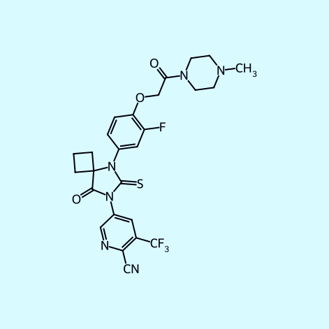 CN1CCN(C(=O)COc2ccc(N3C(=S)N(c4cnc(C#N)c(C(F)(F)F)c4)C(=O)C34CCC4)cc2F)CC1